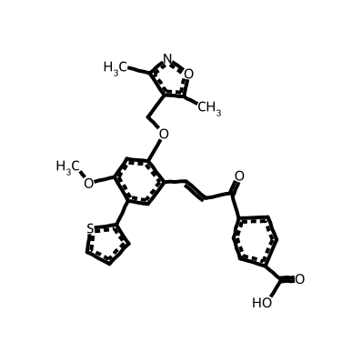 COc1cc(OCc2c(C)noc2C)c(C=CC(=O)c2ccc(C(=O)O)cc2)cc1-c1cccs1